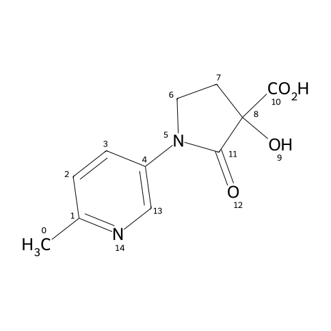 Cc1ccc(N2CCC(O)(C(=O)O)C2=O)cn1